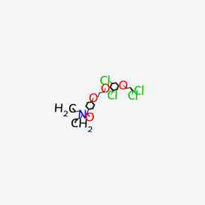 C=CCN(CC=C)C(=O)c1ccc(OCCCOc2c(Cl)cc(OCC=C(Cl)Cl)cc2Cl)cc1